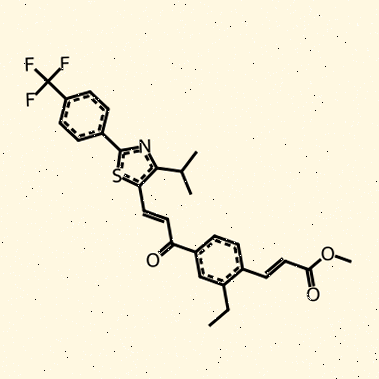 CCc1cc(C(=O)C=Cc2sc(-c3ccc(C(F)(F)F)cc3)nc2C(C)C)ccc1C=CC(=O)OC